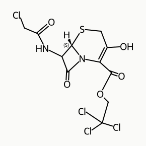 O=C(CCl)NC1C(=O)N2C(C(=O)OCC(Cl)(Cl)Cl)=C(O)CS[C@@H]12